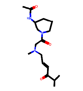 CC(=O)NC1CCCN(C(=O)CN(C)C/C=C/C(=O)C(C)C)C1